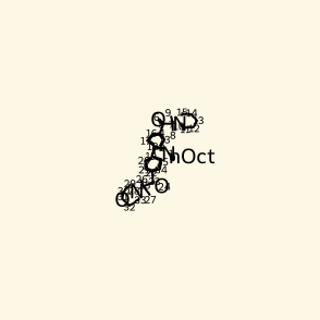 CCCCCCCCn1c2cc(C(=O)C(C)(C)N3CCCCC3)ccc2c2ccc(C(=O)C(C)(C)N3CCOCC3)cc21